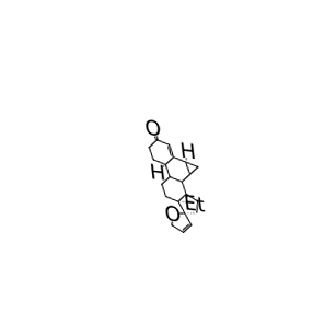 CC[C@]12CCC3C(C4C[C@@H]4C4=CC(=O)CC[C@@H]43)C1CC[C@@]21C=CCO1